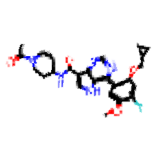 COc1cc(-c2ncnc3c(C(=O)NC4CCN(C(C)=O)CC4)c[nH]c23)c(OCC2CC2)cc1F